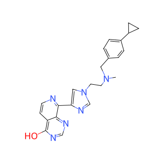 CN(CCn1cnc(-c2nccc3c(O)ncnc23)c1)Cc1ccc(C2CC2)cc1